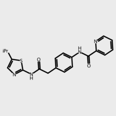 CC(C)c1cnc(NC(=O)Cc2ccc(NC(=O)c3ccccn3)cc2)s1